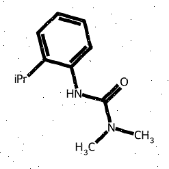 CC(C)c1ccccc1NC(=O)N(C)C